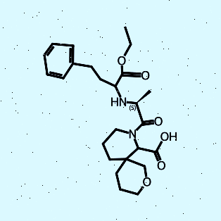 CCOC(=O)C(CCc1ccccc1)N[C@@H](C)C(=O)N1CCCC2(CCCOC2)C1C(=O)O